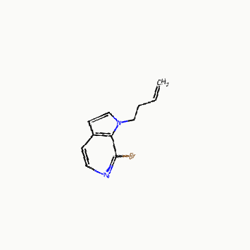 C=CCCn1ccc2ccnc(Br)c21